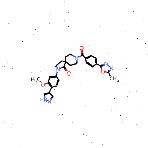 COc1cc(N2CCC3(CCN(C(=O)c4ccc(-c5nnc(C)o5)cc4)CC3)C2=O)ccc1-c1cn[nH]c1